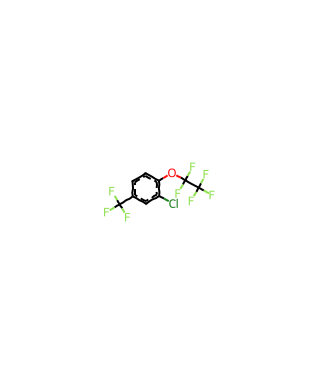 FC(F)(F)c1ccc(OC(F)(F)C(F)(F)F)c(Cl)c1